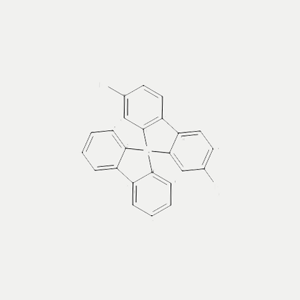 Brc1ccc2c(c1)[Si]1(c3ccccc3-c3ccccc31)c1cc(Br)ccc1-2